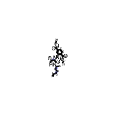 C=C/C=C\C=C(/C)NC(=O)/C(=N\Nc1cc(C(=O)OCC)ccc1C(=O)OCC)C(C)=O